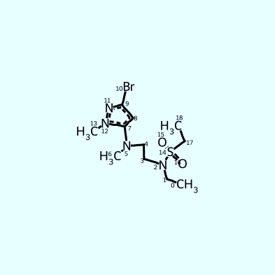 CCN(CCN(C)c1cc(Br)nn1C)S(=O)(=O)CC